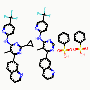 Cc1c(Nc2ccc(C(F)(F)F)cn2)nc(C2CC2)nc1-c1ccc2cccnc2c1.Cc1c(Nc2ccc(C(F)(F)F)cn2)ncnc1-c1ccc2cccnc2c1.O=S(=O)(O)c1ccccc1.O=S(=O)(O)c1ccccc1